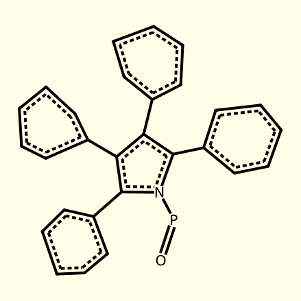 O=Pn1c(-c2ccccc2)c(-c2ccccc2)c(-c2ccccc2)c1-c1ccccc1